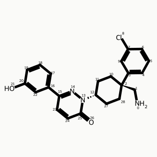 NC[C@]1(c2cccc(Cl)c2)CC[C@@H](n2nc(-c3cccc(O)c3)ccc2=O)CC1